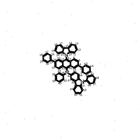 c1ccc(-c2ccc3c(-n4c5ccccc5c5ccccc54)c4cc(-c5ccccc5)ccc4c(N(c4ccccc4)c4ccc5c(c4)c4ccccc4n5-c4ccccc4)c3c2)cc1